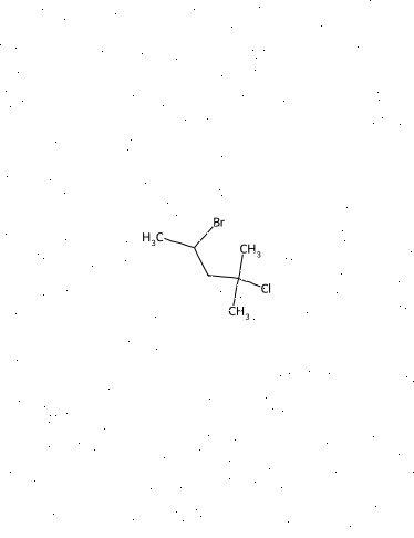 CC(Br)CC(C)(C)Cl